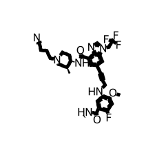 CNC(=O)c1cc(NCC#Cc2cc(C(=O)N[C@H]3CCN(CCCC#N)C[C@@H]3C)c3ncn(CC(F)(F)F)c3c2)c(OC)cc1F